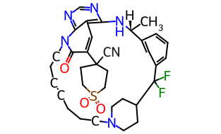 C[C@H]1Nc2ncnc3c2cc(C2(C#N)CCS(=O)(=O)CC2)c(=O)n3CCCCCCCN2CCC(CC2)C(F)(F)c2cccc1c2